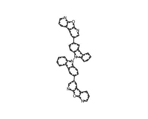 c1cnc2oc3ncc(-c4ccc5c(c4)c4ccccc4n5-n4c5ccccc5c5cc(-c6cnc7oc8ncccc8c7c6)ccc54)cc3c2c1